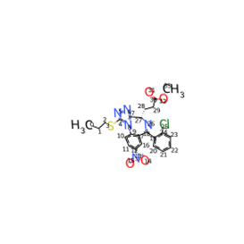 CCCSc1nnc2n1-c1ccc([N+](=O)[O-])cc1C(c1ccccc1Cl)=N[C@H]2CCC(=O)OC